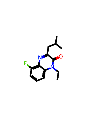 CCn1c(=O)c(CC(C)C)nc2c(F)cccc21